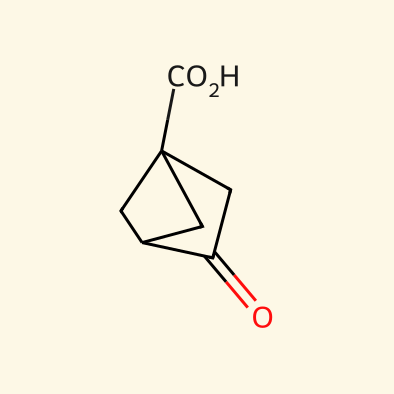 O=C1CC2(C(=O)O)CC1C2